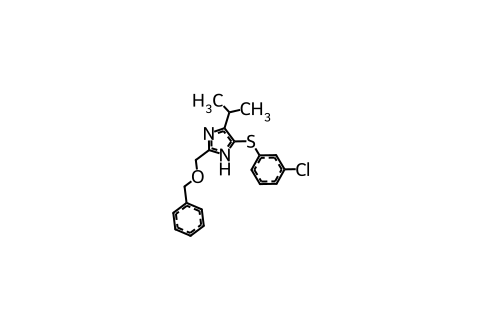 CC(C)c1nc(COCc2ccccc2)[nH]c1Sc1cccc(Cl)c1